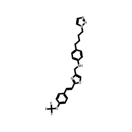 FC(F)(F)Sc1ccc(/C=C/c2nc(CNc3ccc(CCCCn4ccnn4)cc3)co2)cc1